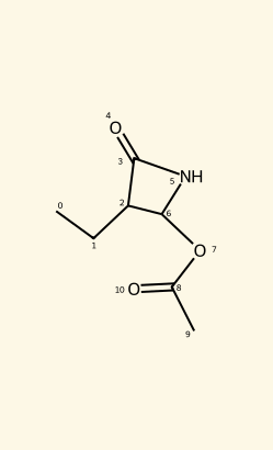 CCC1C(=O)NC1OC(C)=O